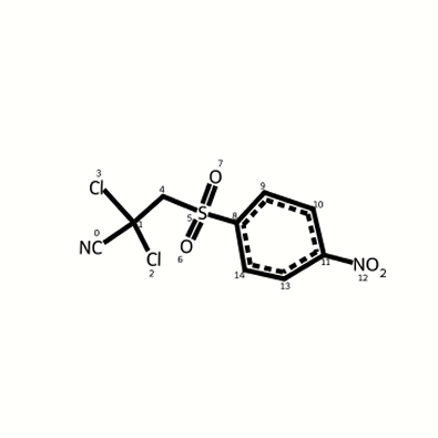 N#CC(Cl)(Cl)CS(=O)(=O)c1ccc([N+](=O)[O-])cc1